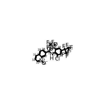 O=C(Nc1c(Cl)cc(C(F)(C(F)(F)F)C(F)(F)F)cc1S(=O)(=O)C(F)(F)F)c1ccc2ccc[n+]([O-])c2c1